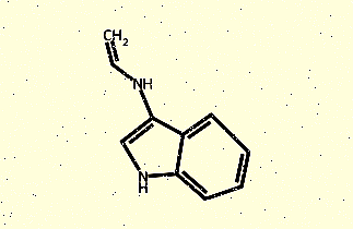 C=CNc1c[nH]c2ccccc12